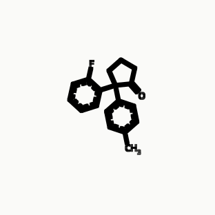 Cc1ccc(C2(c3ccccc3F)CCCC2=O)cc1